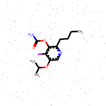 CCCCc1ncc(OC(C)C)c(I)c1OC(N)=O